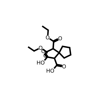 CCOC(=O)C(C(=O)OCC)C1(C(C(=O)O)C(=O)O)CCCC1